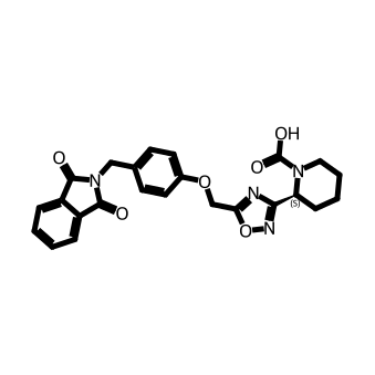 O=C1c2ccccc2C(=O)N1Cc1ccc(OCc2nc([C@@H]3CCCCN3C(=O)O)no2)cc1